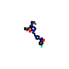 CCn1cc(C)c2c1C=CCN(CCCN1CCC(c3noc4cc(F)ccc34)CC1)C2=O